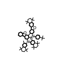 Cc1cc2c(cc1N1c3cc4c(cc3B3c5c1cc1c(oc6ccccc61)c5-c1cc5c(cc1N3c1ccc(C(C)(C)C)cc1)oc1cc3c(cc15)C(C)(C)CCC3(C)C)C(C)(C)CCC4(C)C)C(C)(C)CCC2(C)C